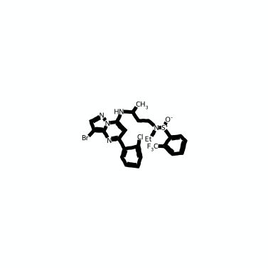 CCN(CCC(C)Nc1cc(-c2ccccc2Cl)nc2c(Br)cnn12)[S+]([O-])c1ccccc1C(F)(F)F